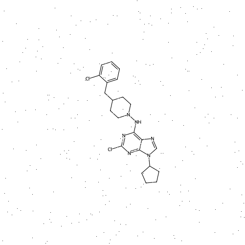 Clc1nc(NN2CCC(Cc3ccccc3Cl)CC2)c2ncn(C3CCCC3)c2n1